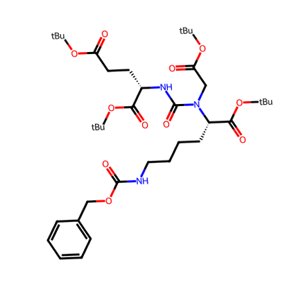 CC(C)(C)OC(=O)CC[C@H](NC(=O)N(CC(=O)OC(C)(C)C)[C@@H](CCCCNC(=O)OCc1ccccc1)C(=O)OC(C)(C)C)C(=O)OC(C)(C)C